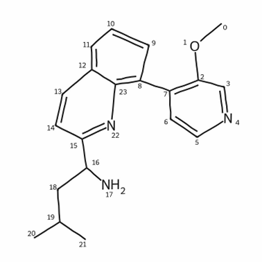 COc1cnccc1-c1cccc2ccc(C(N)CC(C)C)nc12